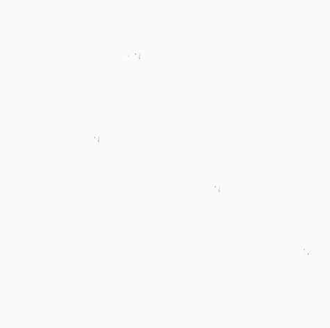 CC1CC=Cc2c1c1cc(C#N)ccc1n2-c1cccc(-c2cc(C#N)cc(-n3c4ccccc4c4ccccc43)c2)c1